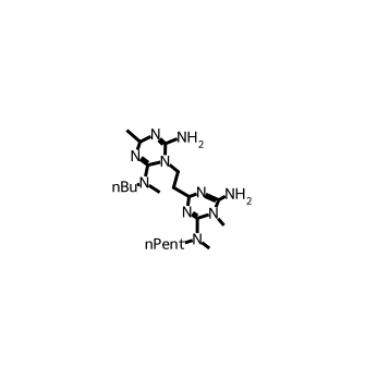 CCCCCN(C)C1=NC(CCN2C(N)=NC(C)N=C2N(C)CCCC)N=C(N)N1C